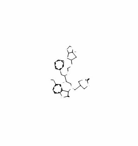 O=C1NCC(CN(C[C@@H](O)C(Cc2ccccc2)NC(=O)OC2CC3CCO[C@@H]3C2)C2C(=O)Nc3ccc(CO)cc32)CN1